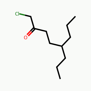 CCCC(CCC)CCC(=O)CCl